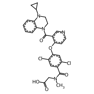 CN(CC(=O)O)C(=O)c1cc(Cl)c(Oc2ccncc2C(=O)N2CCN(C3CC3)c3ccccc32)cc1Cl